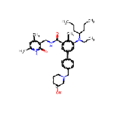 CCCC(CCC)N(CC)c1cc(-c2ccc(CN3CCC[C@H](O)C3)cc2)cc(C(=O)NCc2c(C)cc(C)[nH]c2=O)c1C